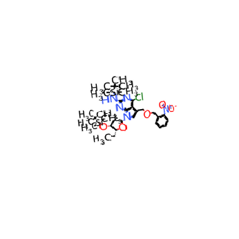 CC[C@H]1O[C@@H](n2cc(COCc3ccccc3[N+](=O)[O-])c3c(Cl)nc(N[Si](C)(C)C(C)(C)C)nc32)C[C@H]1O[Si](C)(C)C(C)(C)C